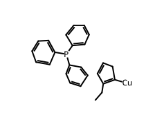 CCC1=[C]([Cu])CC=C1.c1ccc(P(c2ccccc2)c2ccccc2)cc1